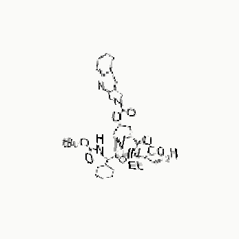 C=C[C@@](CC)(NC(=O)[C@@H]1C[C@@H](OC(=O)N2Cc3cc4ccccc4nc3C2)CN1C(=O)[C@@H](NC(=O)OC(C)(C)C)C1CCCCC1)C(=O)O